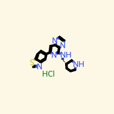 Cl.c1cnc2c(NC[C@H]3CCCNC3)nc(-c3ccc4scnc4c3)cc2n1